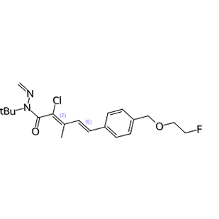 C=NN(C(=O)/C(Cl)=C(C)/C=C/c1ccc(COCCF)cc1)C(C)(C)C